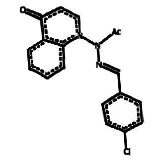 CC(=O)N(N=Cc1ccc(Cl)cc1)n1ccc(=O)c2ccccc21